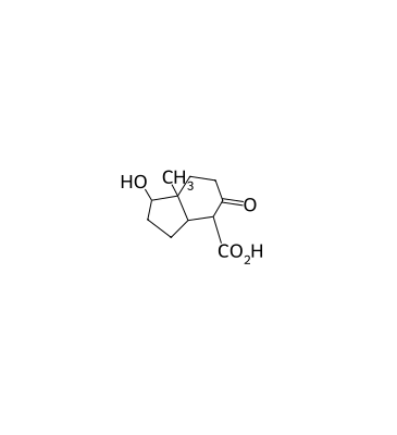 CC12CCC(=O)C(C(=O)O)C1CCC2O